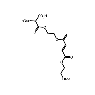 C=C(/C=C/C(=O)OCCOC)OCCOC(=O)C(CCCCCCCCC)C(=O)O